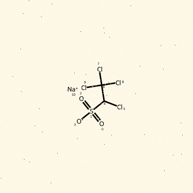 O=S(=O)([O-])C(Cl)C(Cl)(Cl)Cl.[Na+]